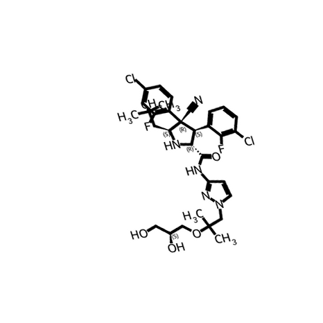 CC(C)(C)C[C@@H]1N[C@@H](C(=O)Nc2ccn(CC(C)(C)OC[C@@H](O)CO)n2)[C@H](c2cccc(Cl)c2F)[C@@]1(C#N)c1ccc(Cl)cc1F